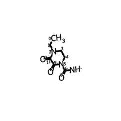 CCN1CCN(C([NH])=O)C(=O)C1=O